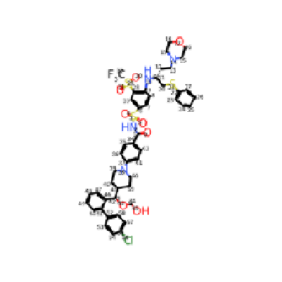 O=C(NS(=O)(=O)c1ccc(N[C@H](CCN2CCOCC2)CSc2ccccc2)c(S(=O)(=O)C(F)(F)F)c1)c1ccc(N2CCC([C@@H](OCO)c3ccccc3-c3ccc(Cl)cc3)CC2)cc1